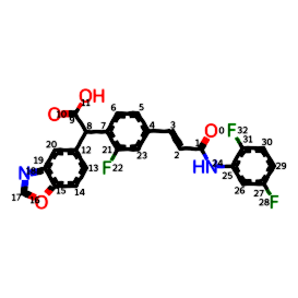 O=C(C=Cc1ccc(C(C(=O)O)c2ccc3ocnc3c2)c(F)c1)Nc1cc(F)ccc1F